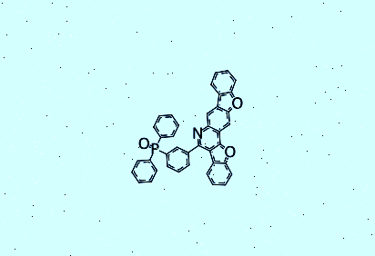 O=P(c1ccccc1)(c1ccccc1)c1cccc(-c2nc3cc4c(cc3c3oc5ccccc5c23)oc2ccccc24)c1